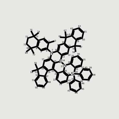 Cc1cc2c(cc1N1c3cc4c(cc3B3c5c1cc1c(c5-c5cccc6c5N3c3ccccc3[Si]6(c3ccccc3)c3ccccc3)-c3ccccc3C1(C)C)C(C)(C)c1ccccc1C4(C)C)C(C)(C)CCC2(C)C